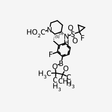 CC1(C)OB(c2cccc(C[C@H]3[C@@H](NS(=O)(=O)C4(F)CC4)CCCN3C(=O)O)c2F)OC1(C)C